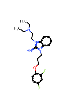 CCN(CC)CCn1c(=N)n(CCCOc2ccc(F)cc2F)c2ccccc21